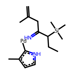 C=C(C)CC(=N)C(CC)[Si](C)(C)C.Cc1cc[nH][c]1[Pd]